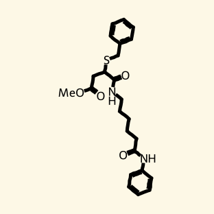 COC(=O)CC(SCc1ccccc1)C(=O)NCCCCCC(=O)Nc1ccccc1